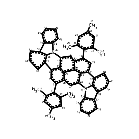 Cc1cc(C)c(-c2cc3c4c(cc5c(-c6c(C)cc(C)cc6C)cc6c7c(cc2c4c57)B2c4ccccc4-c4cccc-6c42)B2c4ccccc4-c4cccc-3c42)c(C)c1